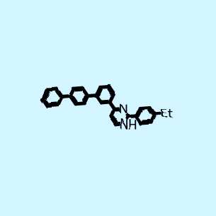 CCc1ccc(C2N=C(c3cccc(-c4ccc(-c5ccccc5)cc4)c3)C=CN2)cc1